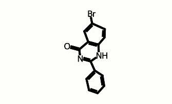 O=c1nc(-c2ccccc2)[nH]c2ccc(Br)cc12